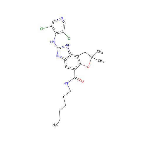 CCCCCCNC(=O)c1cc2nc(Nc3c(Cl)cncc3Cl)[nH]c2c2c1OC(C)(C)C2